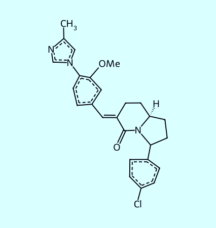 COc1cc(C=C2CC[C@H]3CCC(c4ccc(Cl)cc4)N3C2=O)ccc1-n1cnc(C)c1